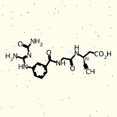 C#C[C@H](CC(=O)O)NC(=O)CNC(=O)c1cccc(NC(N)=NC(N)=O)c1